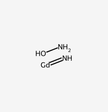 NO.[NH]=[Gd]